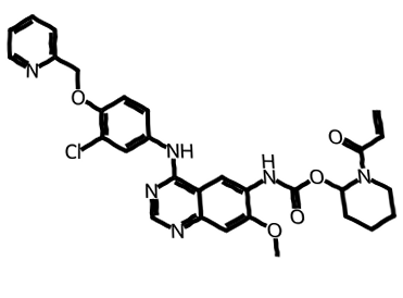 C=CC(=O)N1CCCCC1OC(=O)Nc1cc2c(Nc3ccc(OCc4ccccn4)c(Cl)c3)ncnc2cc1OC